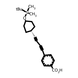 CC(C)(C)[Si](C)(C)O[C@H]1CC[C@H](C#CC#Cc2ccc(C(=O)O)cc2)CC1